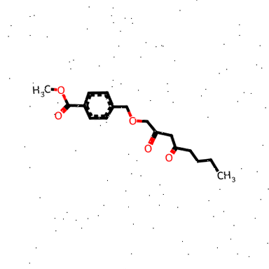 CCCCC(=O)CC(=O)COCc1ccc(C(=O)OC)cc1